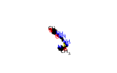 COc1ccc(NC(=O)NCCCNc2ncc(C(=O)c3cnccc3C)s2)cc1